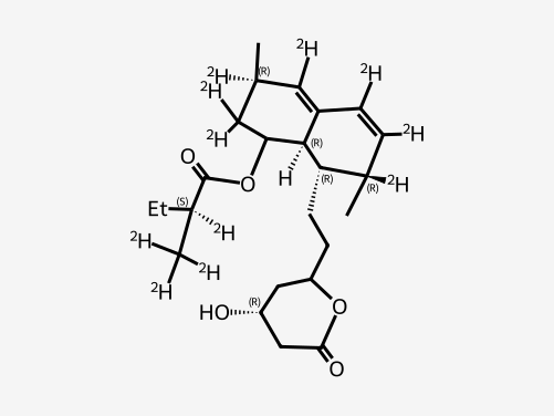 [2H]C1=C([2H])[C@]([2H])(C)[C@H](CCC2C[C@@H](O)CC(=O)O2)[C@@H]2C1=C([2H])[C@]([2H])(C)C([2H])([2H])C2OC(=O)[C@]([2H])(CC)C([2H])([2H])[2H]